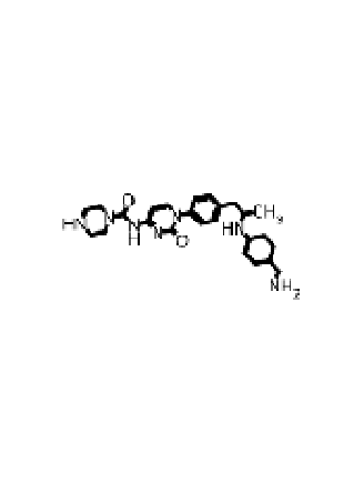 CC(Cc1ccc(-n2ccc(NC(=O)N3CCNCC3)nc2=O)cc1)NC1CCC(CN)CC1